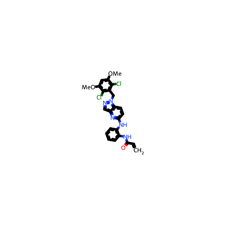 C=CC(=O)Nc1ccccc1Nc1ccc2c(cnn2Cc2c(Cl)c(OC)cc(OC)c2Cl)n1